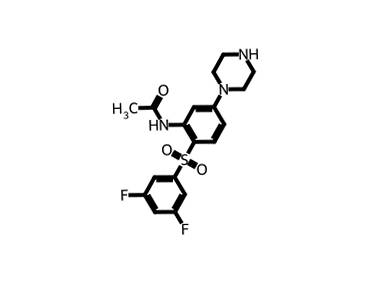 CC(=O)Nc1cc(N2CCNCC2)ccc1S(=O)(=O)c1cc(F)cc(F)c1